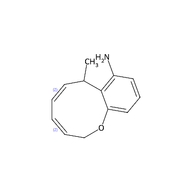 CC1/C=C\C=C/COc2cccc(N)c21